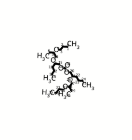 CCCCOC(CC)COC(CCCC)COC(=O)OCC(CCCC)OCC(CC)OCCCC